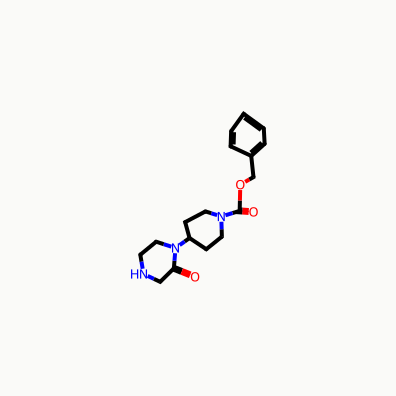 O=C(OCc1ccccc1)N1CCC(N2CCNCC2=O)CC1